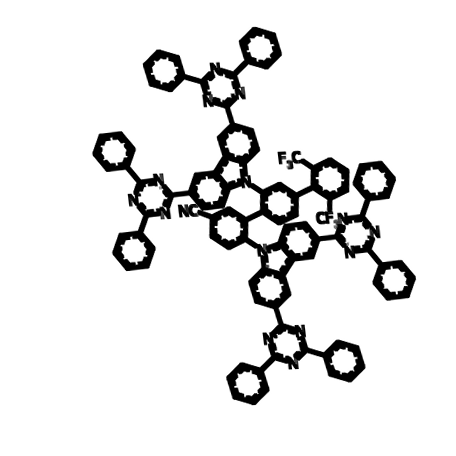 N#Cc1ccc(-n2c3ccc(-c4nc(-c5ccccc5)nc(-c5ccccc5)n4)cc3c3cc(-c4nc(-c5ccccc5)nc(-c5ccccc5)n4)ccc32)c(-c2ccc(-c3c(C(F)(F)F)cccc3C(F)(F)F)cc2-n2c3ccc(-c4nc(-c5ccccc5)nc(-c5ccccc5)n4)cc3c3cc(-c4nc(-c5ccccc5)nc(-c5ccccc5)n4)ccc32)c1